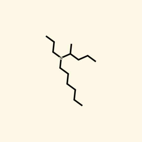 CCCCCCN(CCC)C(C)CCC